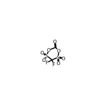 O=C1OS(=O)(=O)C(F)(F)S(=O)(=O)O1